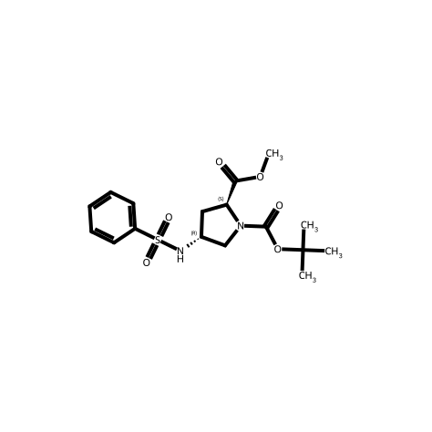 COC(=O)[C@@H]1C[C@@H](NS(=O)(=O)c2ccccc2)CN1C(=O)OC(C)(C)C